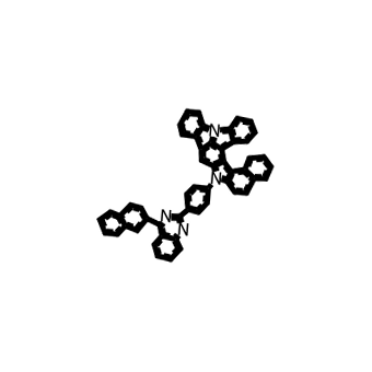 c1ccc2cc(-c3nc(-c4ccc(-n5c6ccc7ccccc7c6c6c7c8ccccc8n8c9ccccc9c(cc65)c78)cc4)nc4ccccc34)ccc2c1